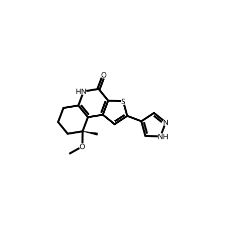 CO[C@]1(C)CCCc2[nH]c(=O)c3sc(-c4cn[nH]c4)cc3c21